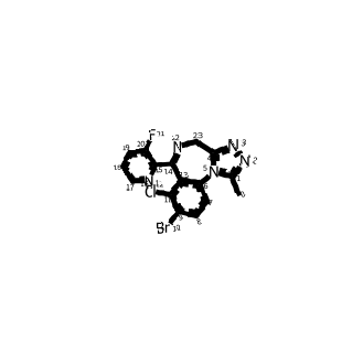 Cc1nnc2n1-c1ccc(Br)c(Cl)c1C(c1ncccc1F)=NC2